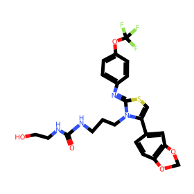 O=C(NCCO)NCCCn1c(-c2ccc3c(c2)OCO3)cs/c1=N\c1ccc(OC(F)(F)F)cc1